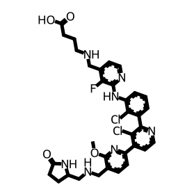 COc1nc(-c2ccnc(-c3cccc(Nc4nccc(CNCCCC(=O)O)c4F)c3Cl)c2Cl)ccc1CNCC1CCC(=O)N1